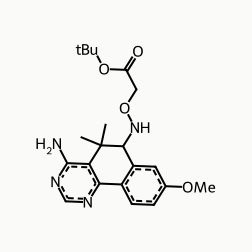 COc1ccc2c(c1)C(NOCC(=O)OC(C)(C)C)C(C)(C)c1c(N)ncnc1-2